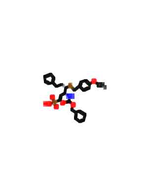 COc1ccc(CS[C@@H](CCc2ccccc2)[C@@H](/C=C/S(=O)(=O)O)NC(=O)OCc2ccccc2)cc1